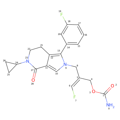 NC(=O)OCC(=CF)Cn1cc2c(c1-c1cccc(F)c1)CCN(C1CC1)C2=O